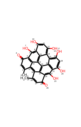 Cc1cc(=O)c2c(O)c3c(O)cc(O)c4c5c(O)cc(O)c6c(O)c7c(=O)cc(C)c8c1c2c(c34)c(c65)c78